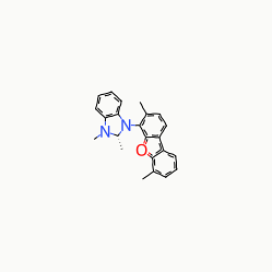 Cc1ccc2c(oc3c(C)cccc32)c1N1c2ccccc2N(C)[C@H]1C